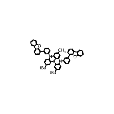 Cc1cc2c3c(c1)N(c1cccc(-c4cccc5c4oc4ccccc45)c1)c1ccc(C(C)(C)C)cc1B3c1cc(C(C)(C)C)ccc1N2c1cccc(-c2cccc3c2oc2ccccc23)c1